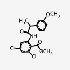 COC(=O)c1c(Cl)cc(Cl)cc1NC(=O)C(C)c1cccc(OC)c1